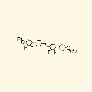 CCCCOC1CCC(c2ccc(/C=C/C3CCC(c4ccc(OCC)c(F)c4F)CC3)c(F)c2F)CC1